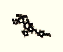 C1CC2CC2C1.CC1(C)CC(N2N=Cc3ccc(CCc4ccc(N)cc4)cc3NC2=O)CC(C)(C)C1